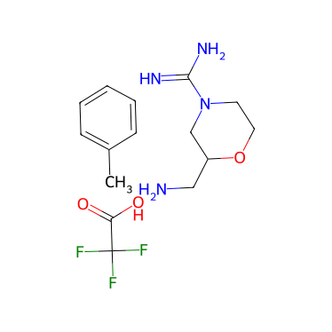 Cc1ccccc1.N=C(N)N1CCOC(CN)C1.O=C(O)C(F)(F)F